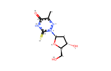 Cc1nn([C@H]2C[C@H](O)[C@@H](CO)O2)c(=S)[nH]c1=O